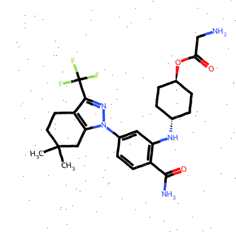 CC1(C)CCc2c(C(F)(F)F)nn(-c3ccc(C(N)=O)c(N[C@H]4CC[C@H](OC(=O)CN)CC4)c3)c2C1